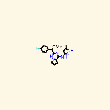 COC(c1ccc(F)cc1)c1nc(Nc2cc(C)[nH]n2)c2cccn2n1